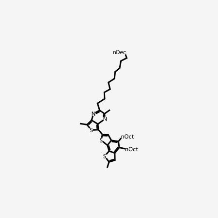 CCCCCCCCCCCCCCCCCCCCc1nc2c(C)sc(-c3cc4c(CCCCCCCC)c(CCCCCCCC)c5cc(C)sc5c4s3)c2nc1C